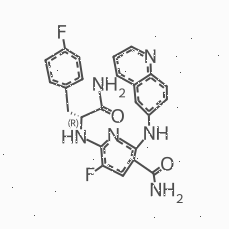 NC(=O)c1cc(F)c(N[C@H](Cc2ccc(F)cc2)C(N)=O)nc1Nc1ccc2ncccc2c1